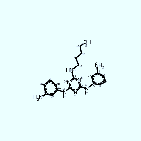 Nc1cccc(Nc2nc(NCCCCO)nc(Nc3cccc(N)c3)n2)c1